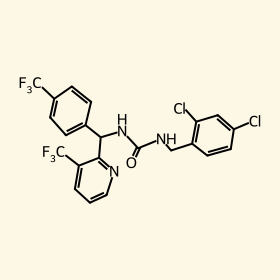 O=C(NCc1ccc(Cl)cc1Cl)NC(c1ccc(C(F)(F)F)cc1)c1ncccc1C(F)(F)F